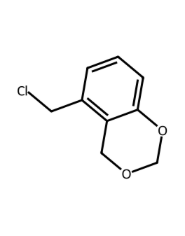 ClCc1cccc2c1COCO2